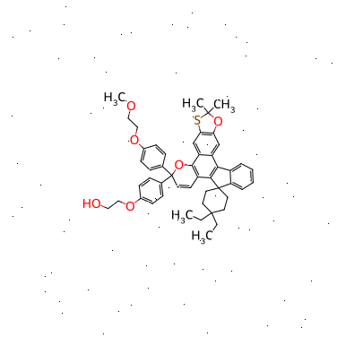 CCC1(CC)CCC2(CC1)c1ccccc1-c1c2c2c(c3cc4c(cc13)OC(C)(C)S4)OC(c1ccc(OCCO)cc1)(c1ccc(OCCOC)cc1)C=C2